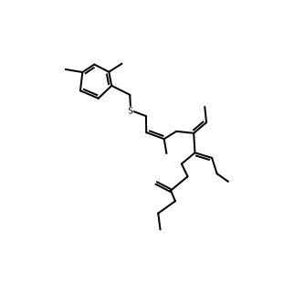 C=C(CCC)CCC(=C\CC)/C(=C/C)C/C(C)=C\CSCc1ccc(C)cc1C